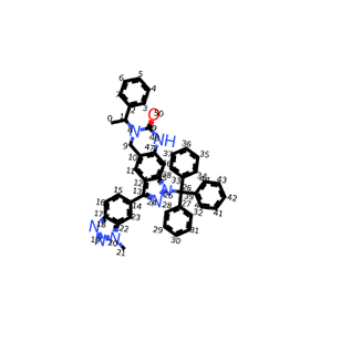 CC(c1ccccc1)N1Cc2cc3c(-c4ccc5nnn(C)c5c4)nn(C(c4ccccc4)(c4ccccc4)c4ccccc4)c3cc2NC1=O